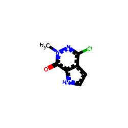 Cn1nc(Cl)c2cc[nH]c2c1=O